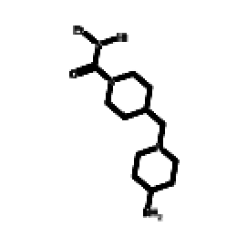 CCN(CC)C(=O)N1CCC(CN2CCC(N)CC2)CC1